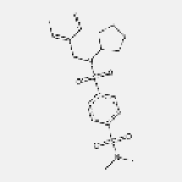 C=C/C(=C\C)CN(C1CCCC1)S(=O)(=O)c1ccc(S(=O)(=O)N(C)C)cc1